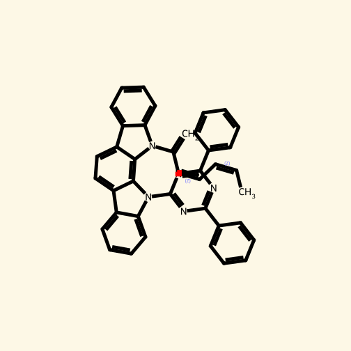 C=C(/C=C\C=C/C)n1c2ccccc2c2ccc3c4ccccc4n(-c4nc(-c5ccccc5)nc(-c5ccccc5)n4)c3c21